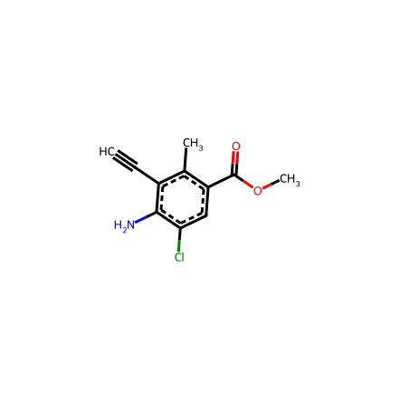 C#Cc1c(C)c(C(=O)OC)cc(Cl)c1N